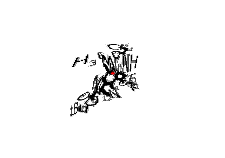 Cn1cc(-c2nn(C(=O)OC(C)(C)C)c3cncc(-c4c(F)cc(NC(=O)CCl)cc4OC(F)F)c23)cn1